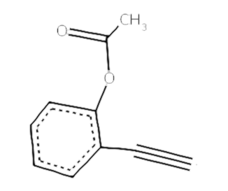 [C]#Cc1ccccc1OC(C)=O